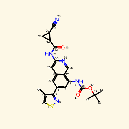 Cc1csnc1-c1cc(NC(=O)OC(C)(C)C)c2cnc(NC(=O)C3CC3C#N)cc2c1